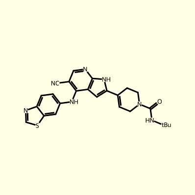 CC(C)(C)NC(=O)N1CC=C(c2cc3c(Nc4ccc5ncsc5c4)c(C#N)cnc3[nH]2)CC1